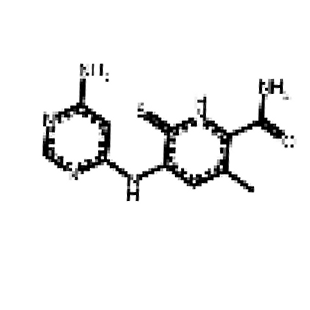 Cc1cc(Nc2cc(N)ncn2)c(=S)[nH]c1C(N)=O